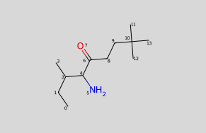 CCC(C)C(N)C(=O)CCC(C)(C)C